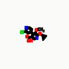 COc1c(OC2CC2)ncc(C(=O)O)c1-c1ccnc(Cl)c1